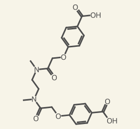 CN(CCN(C)C(=O)COc1ccc(C(=O)O)cc1)C(=O)COc1ccc(C(=O)O)cc1